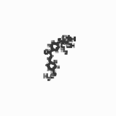 CSc1ccc(/C=C/C(=O)c2ccc(SC(C)(C)C(O)O)cc2)cc1